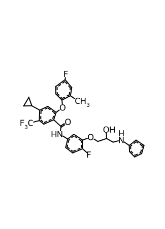 Cc1cc(F)ccc1Oc1cc(C2CC2)c(C(F)(F)F)cc1C(=O)Nc1ccc(F)c(OCC(O)CNc2ccccc2)c1